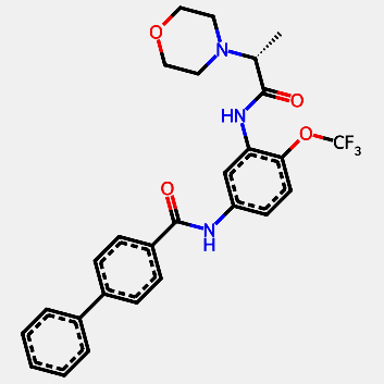 C[C@H](C(=O)Nc1cc(NC(=O)c2ccc(-c3ccccc3)cc2)ccc1OC(F)(F)F)N1CCOCC1